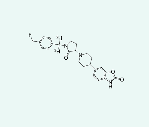 [2H]C([2H])(c1ccc(CF)cc1)N1CC[C@H](N2CCC(c3ccc4[nH]c(=O)oc4c3)CC2)C1=O